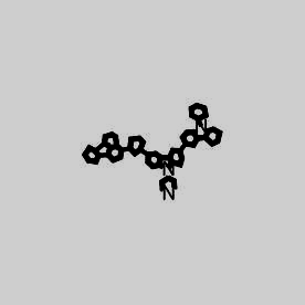 c1ccc(-n2c3ccccc3c3cc(-c4ccc5c(c4)c4cc(-c6cccc(-c7ccc8c9c(cccc79)-c7ccccc7-8)c6)ccc4n5-c4ccncc4)ccc32)cc1